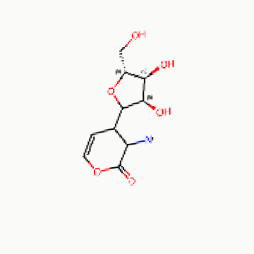 [N]C1C(=O)OC=CC1C1O[C@H](CO)[C@@H](O)[C@H]1O